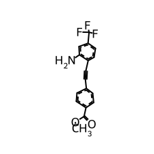 COC(=O)c1ccc(C#Cc2ccc(C(F)(F)F)cc2N)cc1